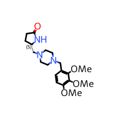 COc1ccc(CN2CCN(C[C@@H]3CCC(=O)N3)CC2)c(OC)c1OC